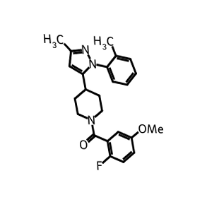 COc1ccc(F)c(C(=O)N2CCC(c3cc(C)nn3-c3ccccc3C)CC2)c1